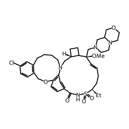 CC[C@@H]1CC/C=C/[C@](CN2CCN3CCOCC3C2)(OC)C2CC[C@H]2CN2CCCCc3cc(Cl)ccc3COc3ccc(cc32)C(=O)NS1(=O)=O